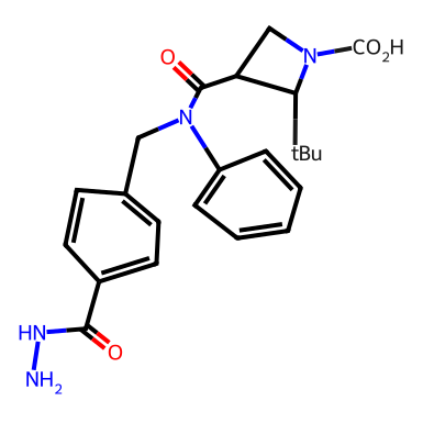 CC(C)(C)C1C(C(=O)N(Cc2ccc(C(=O)NN)cc2)c2ccccc2)CN1C(=O)O